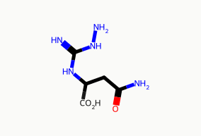 N=C(NN)NC(CC(N)=O)C(=O)O